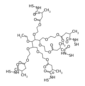 C=COC(C(COCCOC(=O)C[CH](C)[Co](=[O])[NH]S)OCCOC(=O)C[CH](C)[Co](=[O])[NH]S)C(OCCOC(=O)C[CH](C)[Co](=[O])[NH]S)C(COCCOC(=O)C[CH](C)[Co](=[O])[NH]S)OCCOC(=O)C[CH](C)[Co](=[O])[NH]S